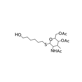 CC(=O)NC1C(SCCCCCCO)OC(COC(C)=O)C(OC(C)=O)C1C